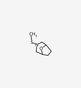 CSN1CC2CCC(C1)O2